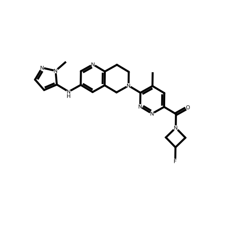 Cc1cc(C(=O)N2CC(F)C2)nnc1N1CCc2ncc(Nc3ccnn3C)cc2C1